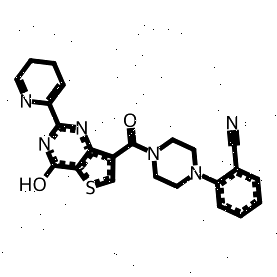 N#Cc1ccccc1N1CCN(C(=O)c2csc3c(O)nc(C4=CCCC=N4)nc23)CC1